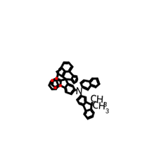 CC1(C)c2ccccc2-c2ccc(N(c3ccc4c(c3)C3(c5ccccc5-4)c4ccccc4-c4cccc5ccc(C6CCCCC6)c3c45)c3ccc4ccccc4c3)cc21